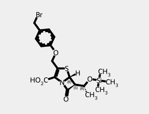 C[C@@H](O[Si](C)(C)C)[C@H]1C(=O)N2C(C(=O)O)=C(COc3ccc(CBr)cc3)S[C@H]12